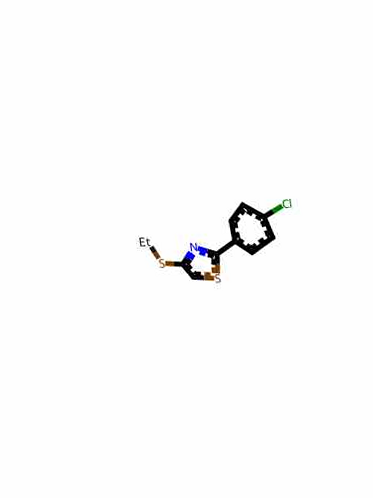 CCSc1csc(-c2ccc(Cl)cc2)n1